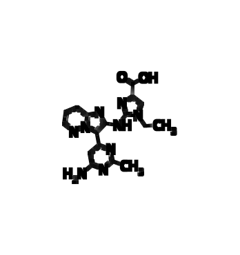 CCn1cc(C(=O)O)nc1Nc1nc2cccnn2c1-c1cc(N)nc(C)n1